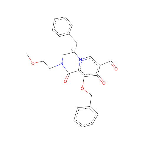 COCCN1C[C@H](Cc2ccccc2)n2cc(C=O)c(=O)c(OCc3ccccc3)c2C1=O